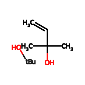 C=CC(C)(C)O.CC(C)(C)O